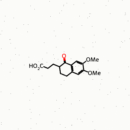 COc1cc2c(cc1OC)C(=O)C(CCC(=O)O)CC2